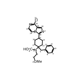 COCCN(C(=O)O)C1(Cc2ccccc2)CCC(c2ncc3c(Cl)nccn23)CC1